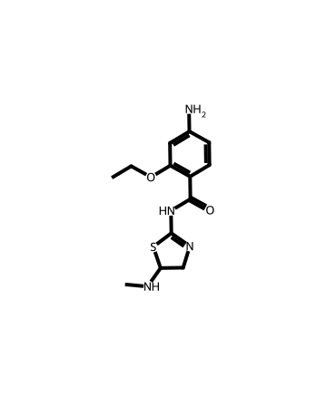 CCOc1cc(N)ccc1C(=O)NC1=NCC(NC)S1